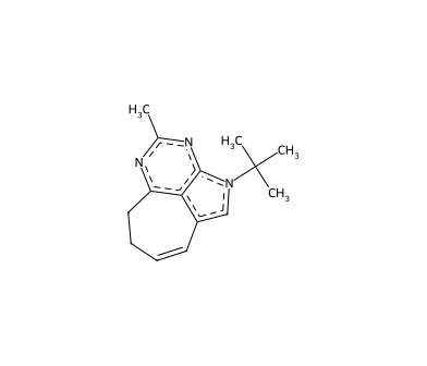 Cc1nc2c3c(cn(C(C)(C)C)c3n1)C=CCC2